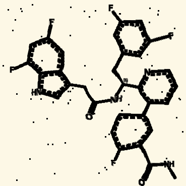 CNC(=O)c1cc(-c2cccnc2[C@H](Cc2cc(F)cc(F)c2)NC(=O)Cc2c[nH]c3c(F)cc(F)cc23)ccc1F